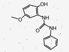 COc1ccc(O)c(NC(=O)Nc2ccccc2)c1